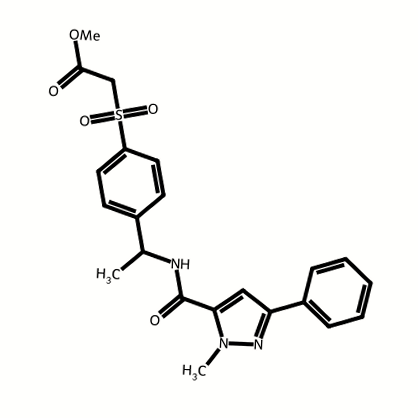 COC(=O)CS(=O)(=O)c1ccc(C(C)NC(=O)c2cc(-c3ccccc3)nn2C)cc1